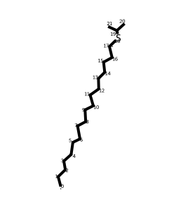 [CH2]CCCCCCCCCCCCCCCC[CH]SC(C)C